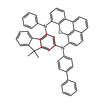 CC1(C)c2ccccc2-c2ccc(N(c3ccc(-c4ccccc4)cc3)c3ccc4cccc5c4c3Oc3c-5cccc3N(c3ccccc3)c3ccccc3)cc21